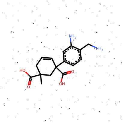 CC1(C(=O)O)CC=CC(C(=O)O)(c2ccc(CN)c(N)c2)C1